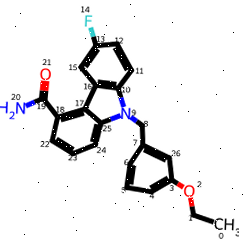 CCOc1cccc(Cn2c3ccc(F)[c]c3c3c(C(N)=O)cccc32)c1